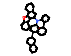 c1ccc(-c2ccccc2N(c2ccc(-c3ccc4ccccc4c3)cc2)c2cc3ccccc3c3oc4ccccc4c23)cc1